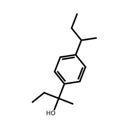 CCC(C)c1ccc(C(C)(O)CC)cc1